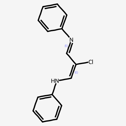 ClC(/C=N/c1ccccc1)=C/Nc1ccccc1